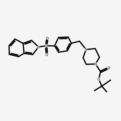 CC(C)(C)OC(=O)N1CCN(Cc2ccc(S(=O)(=O)n3cc4ccccc4c3)cc2)CC1